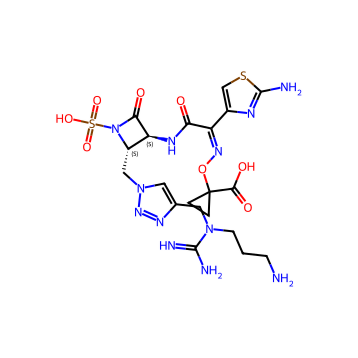 N=C(N)N(CCCN)Cc1cn(C[C@H]2[C@H](NC(=O)C(=NOC3(C(=O)O)CC3)c3csc(N)n3)C(=O)N2S(=O)(=O)O)nn1